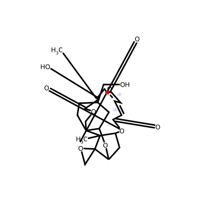 CC1CCOC(=O)/C=C\C=C/C(=O)OC2CC3OC4CC(CO)CCC4(COC(=O)C1O)C2(C)C31CO1